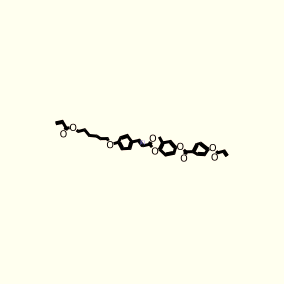 C=CC(=O)OCCCCCCOc1ccc(/C=C/C(=O)Oc2ccc(OC(=O)c3ccc(OC(=O)C=C)cc3)cc2C)cc1